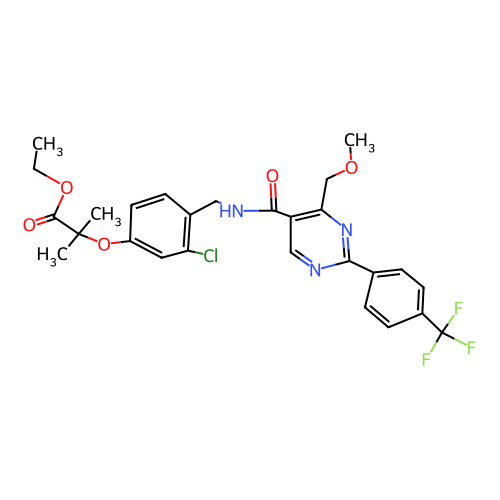 CCOC(=O)C(C)(C)Oc1ccc(CNC(=O)c2cnc(-c3ccc(C(F)(F)F)cc3)nc2COC)c(Cl)c1